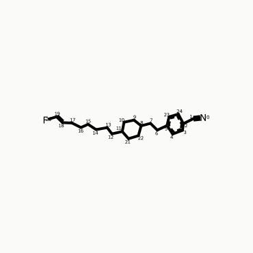 N#Cc1ccc(CCC2CCC(CCCCCCC=CF)CC2)cc1